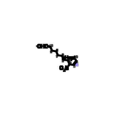 CCCCCCC/C=C\C(CCCCCCC[C]=O)[N+](=O)[O-]